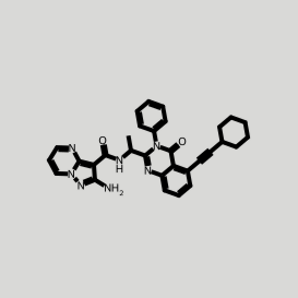 CC(NC(=O)c1c(N)nn2cccnc12)c1nc2cccc(C#CC3CCCCC3)c2c(=O)n1-c1ccccc1